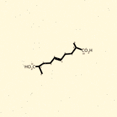 CC(CC/C=C/CCC(C)C(=O)O)C(=O)O